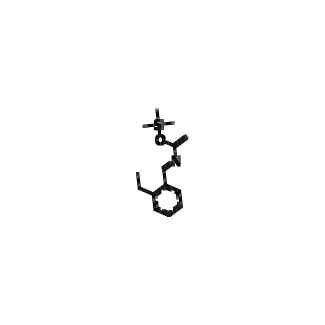 C=C(/N=C/c1ccccc1CC)O[Si](C)(C)C